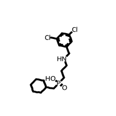 O=P(O)(CCCNCc1cc(Cl)cc(Cl)c1)CC1CCCCC1